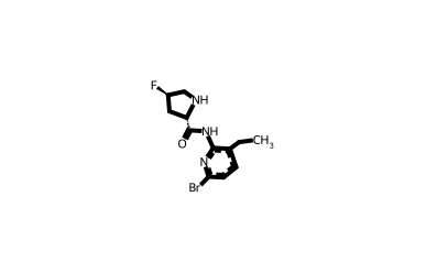 CCc1ccc(Br)nc1NC(=O)[C@@H]1C[C@@H](F)CN1